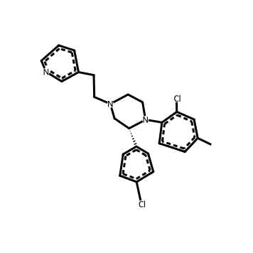 Cc1ccc(N2CCN(CCc3cccnc3)C[C@H]2c2ccc(Cl)cc2)c(Cl)c1